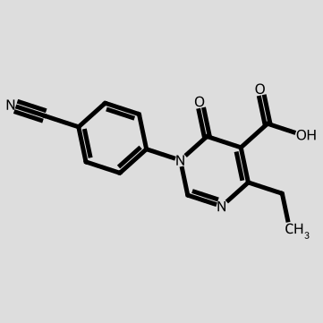 CCc1ncn(-c2ccc(C#N)cc2)c(=O)c1C(=O)O